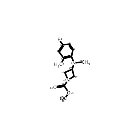 Cc1cc(F)ccc1N(C)C1CN(C(=O)OC(C)(C)C)C1